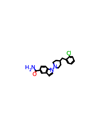 NC(=O)c1ccc2c(ccn2N2CCC(Cc3ccccc3Cl)CC2)c1